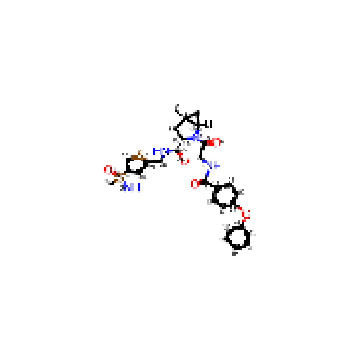 C[C@@]12C[C@@H]1N(C(=O)CNC(=O)c1ccc(Oc3ccccc3)cc1)[C@H](C(=O)NCc1cc(S(C)(=N)=O)cs1)C2